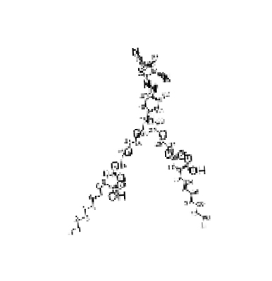 CCCCCC/C=C/CC(CC(=O)OCCOCCOCCN(CCOCCOC(=O)CC(C/C=C/CCCCCC)C(=O)O)c1ccc(/N=N/c2sc(C#N)c(C)c2C#N)c(C)c1)C(=O)O